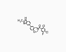 Cc1nc2cc(-c3ccc4c(c3)CN(C(=O)c3cc(F)c(Cl)cc3Cl)CCO4)ccc2[nH]1